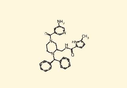 Cc1ccc(C(=O)NCC2CN(C(=O)c3cncc(N)c3)CCN2C(c2ccccc2)c2ccccc2)[nH]1